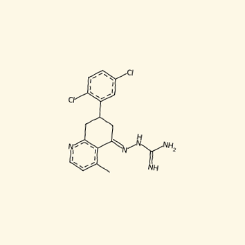 Cc1ccnc2c1C(=NNC(=N)N)CC(c1cc(Cl)ccc1Cl)C2